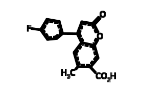 Cc1cc2c(-c3ccc(F)cc3)cc(=O)oc2cc1C(=O)O